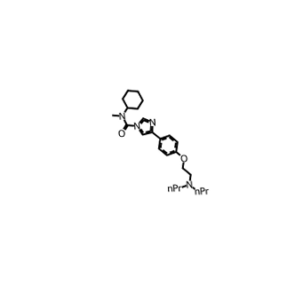 CCCN(CCC)CCOc1ccc(-c2cn(C(=O)N(C)C3CCCCC3)cn2)cc1